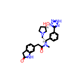 CN(C(=O)Cc1ccc2c(c1)NC(=O)C2)[C@H](CN1CC[C@@H](O)C1)c1cccc(-c2nn[nH]n2)c1